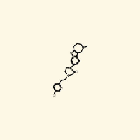 CN1CCCc2oc3cc(N4CCN(CCc5ccc(Cl)cn5)CC4=O)ccc3c2C1